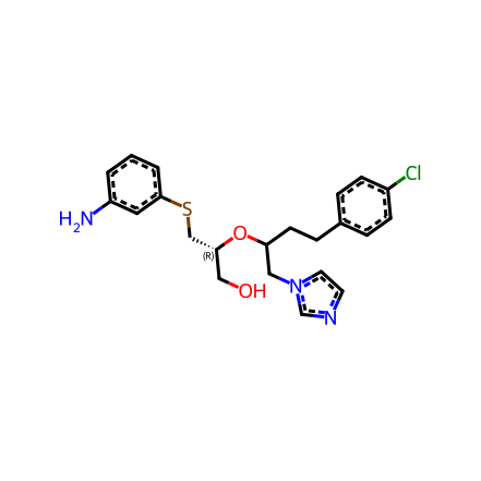 Nc1cccc(SC[C@@H](CO)OC(CCc2ccc(Cl)cc2)Cn2ccnc2)c1